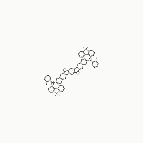 Cc1ccccc1N(c1ccc2cc3c(cc2c1)oc1cc2c(cc13)oc1cc3cc(N(c4ccccc4C)c4cccc5c4-c4ccccc4C5(C)C)ccc3cc12)c1cccc2c1-c1ccccc1C2(C)C